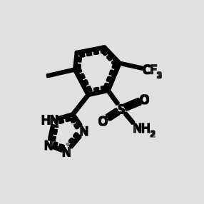 Cc1ccc(C(F)(F)F)c(S(N)(=O)=O)c1-c1nnn[nH]1